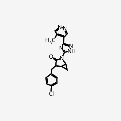 Cc1cnncc1-c1n[nH]c(N2C(=O)C(Cc3ccc(Cl)cc3)C3CC32)n1